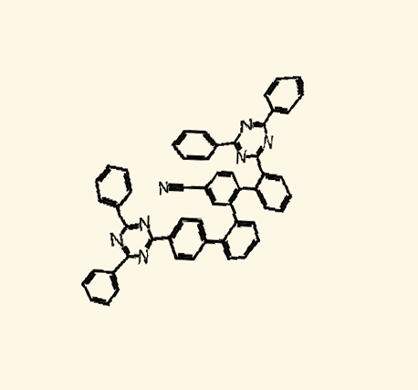 N#Cc1ccc(-c2ccccc2-c2nc(-c3ccccc3)nc(-c3ccccc3)n2)c(-c2ccccc2-c2ccc(-c3nc(-c4ccccc4)nc(-c4ccccc4)n3)cc2)c1